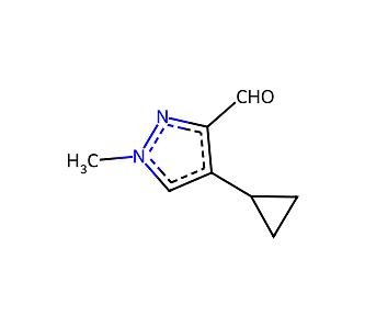 Cn1cc(C2CC2)c(C=O)n1